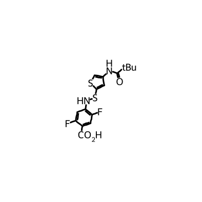 CC(C)(C)C(=O)Nc1csc(SNc2cc(F)c(C(=O)O)cc2F)c1